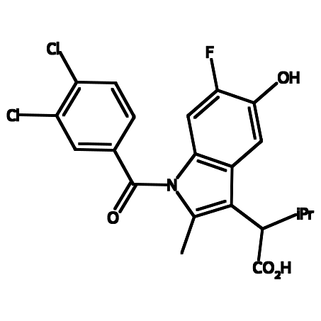 Cc1c(C(C(=O)O)C(C)C)c2cc(O)c(F)cc2n1C(=O)c1ccc(Cl)c(Cl)c1